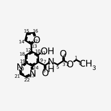 CCOC(=O)CNC(=O)c1c(O)c(-c2ccco2)cc2nccnc12